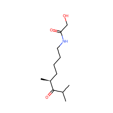 CC(C)C(=O)[C@@H](C)CCCCNC(=O)CO